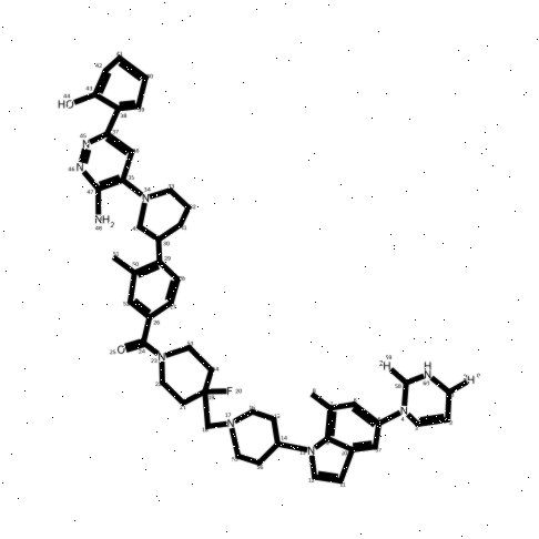 [2H]C1C=CN(c2cc(C)c3c(ccn3C3CCN(CC4(F)CCN(C(=O)c5ccc(C6CCCN(c7cc(-c8ccccc8O)nnc7N)C6)c(C)c5)CC4)CC3)c2)C([2H])N1